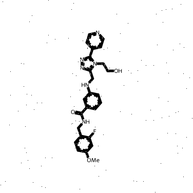 COc1ccc(CNC(=O)c2cccc(NCc3nnc(-c4ccncc4)n3CCO)c2)c(F)c1